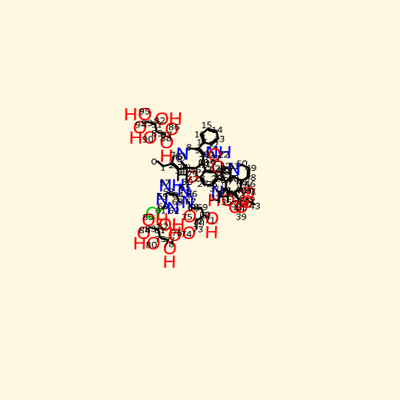 CCC1=C[C@@H]2C[N@](C1)Cc1c([nH]c3ccccc13)[C@@](C(=O)OC)(c1cc3c(cc1OC)N(C)[C@H]1[C@@](O)(C(=O)OC)[C@H](OC(C)=O)[C@]4(CC)C=CCN5CC[C@]31[C@@H]54)C2.Nc1nc(Cl)nc2c1ncn2[C@H]1C[C@H](O)[C@@H](CO)O1.O=C(O)C(O)C(O)C(=O)O.O=C(O)C(O)C(O)C(=O)O